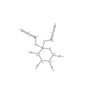 O=C=NCC1(CN=C=O)CC(F)C(F)C(F)C1F